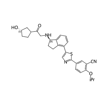 CC(C)Oc1ccc(-c2ncc(-c3cccc4c3CC[C@H]4NCC(=O)C3CC[C@H](O)C3)s2)cc1C#N